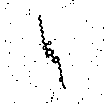 CCCCCC=CCCCC(=O)Oc1cnc(-c2ccc(CCCCCOCCC)cc2)nc1